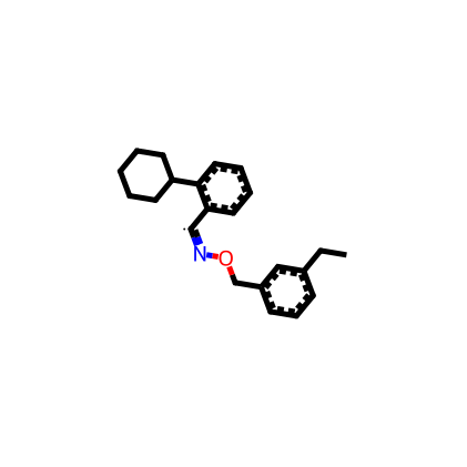 CCc1cccc(CO/N=[C]\c2ccccc2C2CCCCC2)c1